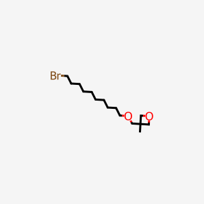 CC1(COCCCCCCCCCCBr)COC1